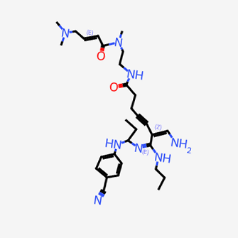 CCCNC(=N/C(CC)Nc1ccc(C#N)cc1)/C(C#CCCC(=O)NCCN(C)C(=O)/C=C/CN(C)C)=C\N